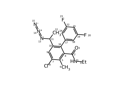 CCNC(=O)c1c(C)c(Cl)cc(C(C)N=[N+]=[N-])c1-c1cc(F)cc(F)c1